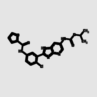 CC(C)OC(=O)Nc1cnc2nc(-c3cc(NC(=O)c4ccco4)ccc3Cl)[nH]c2c1